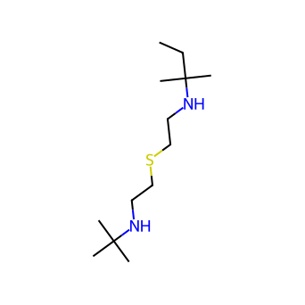 CCC(C)(C)NCCSCCNC(C)(C)C